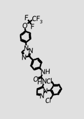 O=C(Nc1ccc(-c2ncn(-c3ccc(OC(F)(F)C(F)(F)F)cc3)n2)cc1)Nc1ccnn1-c1c(Cl)cccc1Cl